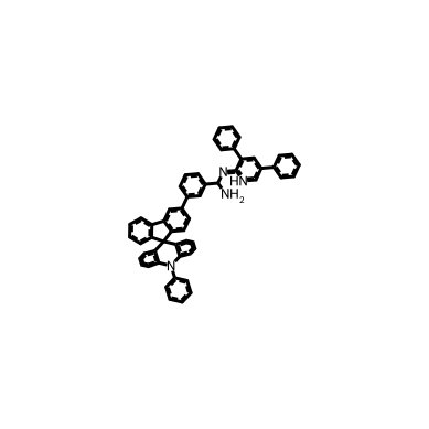 NC(/N=c1\[nH]cc(-c2ccccc2)cc1-c1ccccc1)c1cccc(-c2ccc3c(c2)-c2ccccc2C32c3ccccc3N(c3ccccc3)c3ccccc32)c1